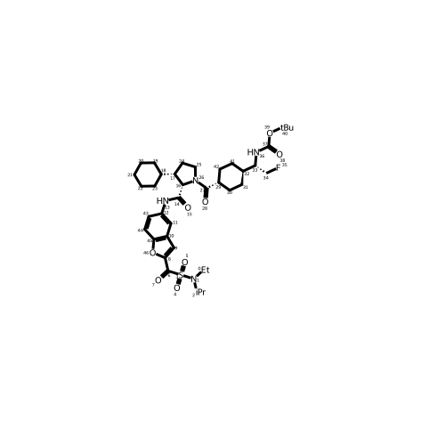 CCN(C(C)C)S(=O)(=O)C(=O)c1cc2cc(NC(=O)[C@@H]3[C@H](C4CCCCC4)CCN3C(=O)[C@H]3CC[C@H]([C@@H](CF)NC(=O)OC(C)(C)C)CC3)ccc2o1